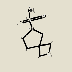 NS(=O)(=O)N1CCC2(COC2)C1